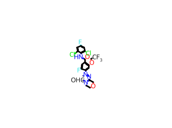 CN(/N=C1/COCCN1C=O)c1cc(OCC(F)(F)F)c(C(=O)Nc2c(Cl)cc(F)cc2Cl)cc1F